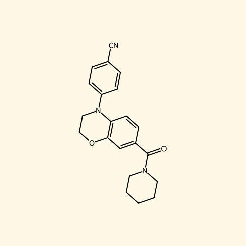 N#Cc1ccc(N2CCOc3cc(C(=O)N4CCCCC4)ccc32)cc1